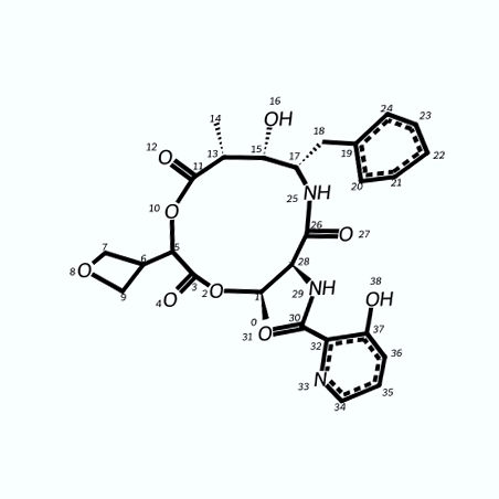 C[C@H]1OC(=O)C(C2COC2)OC(=O)[C@H](C)[C@H](O)[C@H](Cc2ccccc2)NC(=O)[C@H]1NC(=O)c1ncccc1O